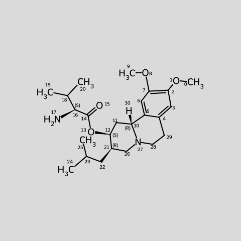 COc1cc2c(cc1OC)[C@H]1C[C@H](OC(=O)[C@@H](N)C(C)C)[C@H](CC(C)C)CN1CC2